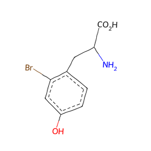 NC(Cc1ccc(O)cc1Br)C(=O)O